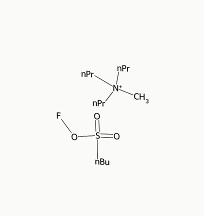 CCCCS(=O)(=O)OF.CCC[N+](C)(CCC)CCC